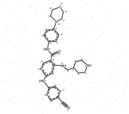 N#Cc1cnc(Nc2cc(NCC3CCNCC3)c(C(=O)Nc3ccc(N4CCOCC4)cc3)cn2)cn1